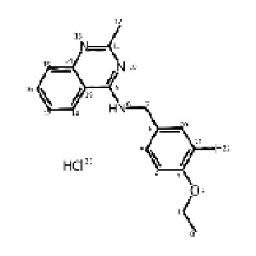 CCOc1ccc(CNc2nc(C)nc3ccccc23)cc1F.Cl